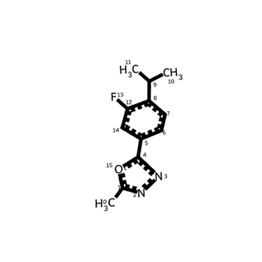 Cc1nnc(-c2ccc(C(C)C)c(F)c2)o1